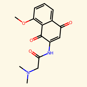 COc1cccc2c1C(=O)C(NC(=O)CN(C)C)=CC2=O